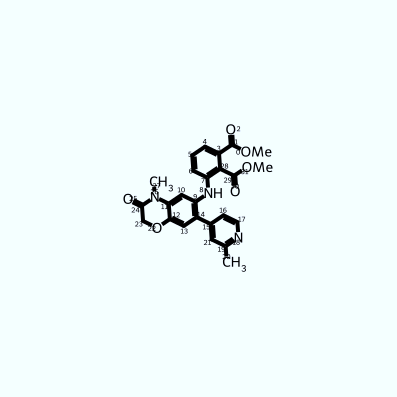 COC(=O)c1cccc(Nc2cc3c(cc2-c2ccnc(C)c2)OCC(=O)N3C)c1C(=O)OC